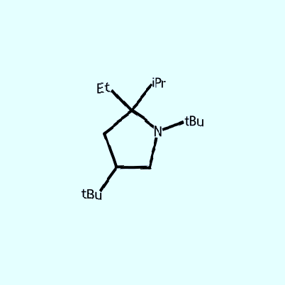 CCC1(C(C)C)CC(C(C)(C)C)CN1C(C)(C)C